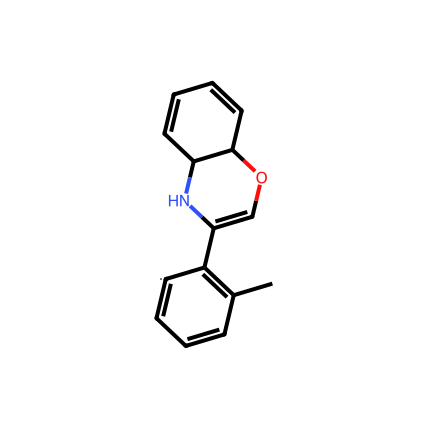 Cc1ccc[c]c1C1=COC2C=CC=CC2N1